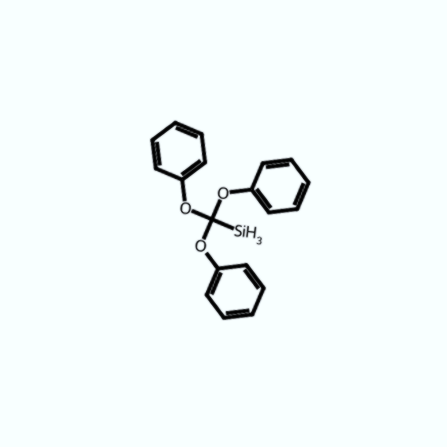 [SiH3]C(Oc1ccccc1)(Oc1ccccc1)Oc1ccccc1